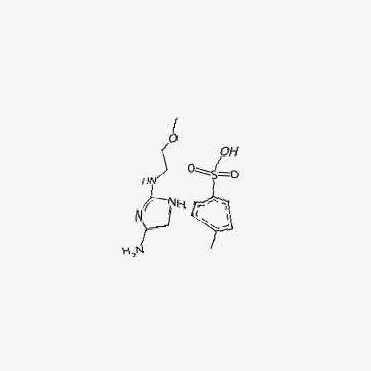 COCCNC1=NC(N)CN1.Cc1ccc(S(=O)(=O)O)cc1